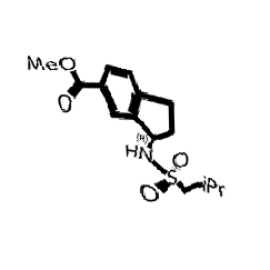 COC(=O)c1ccc2c(c1)[C@H](NS(=O)(=O)CC(C)C)CC2